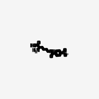 NC(CCCCNC(=O)c1ccc([N+](=O)[O-])cc1)C(=O)O